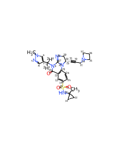 [2H]C([2H])(c1cnn(C)c1)N1C(=O)c2cc(S(=O)(=O)NC3(C)CC3)ccc2N2C1=NC[C@@H]2C#CCN1CCC1